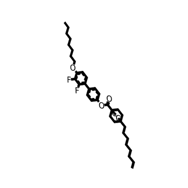 CCCCCCCCOc1ccc(-c2ccc(OC(=O)C34CCC(CCCCCCCC)(CC3)CC4)cc2)c(F)c1F